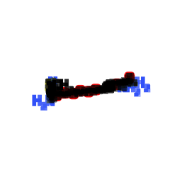 Cc1ncsc1-c1ccc(CN)c(OCCOCCOCCOCCOCCOCCCc2ccc(COC[C@@H](N)CCC(N)=O)cc2)c1